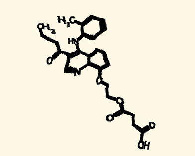 CCCC(=O)c1cnc2c(OCCOC(=O)CCC(=O)O)cccc2c1Nc1ccccc1C